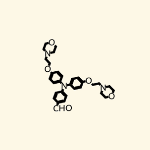 O=Cc1ccc(N(c2ccc(OCCN3CCOCC3)cc2)c2ccc(OCCN3CCOCC3)cc2)cc1